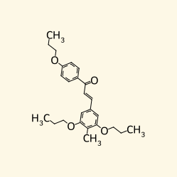 CCCOc1ccc(C(=O)C=Cc2cc(OCCC)c(C)c(OCCC)c2)cc1